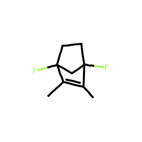 CC1=C(C)C2(F)CCC1(F)C2